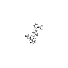 O=C(NS(=O)(=O)C=C1CCCCN1C(=O)O)c1cc(C(F)(F)F)cc(C(F)(F)F)c1